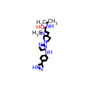 CC(C)NC(O)c1cc2c(n1C)CN(c1nccc(Nc3ccc(-c4cn[nH]c4)cc3)n1)CC2